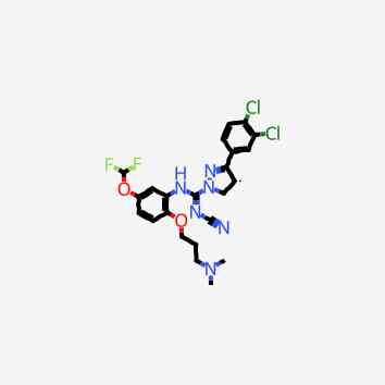 CN(C)CCCOc1ccc(OC(F)F)cc1N/C(=N/C#N)N1C[CH]C(c2ccc(Cl)c(Cl)c2)=N1